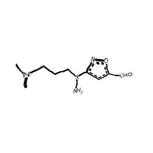 CN(C)CCCN(N)c1cc(C=O)on1